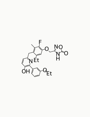 CCOc1cccc(-c2nc(Cc3c(CC)cc(OCc4noc(=O)[nH]4)c(F)c3C)ccc2O)c1